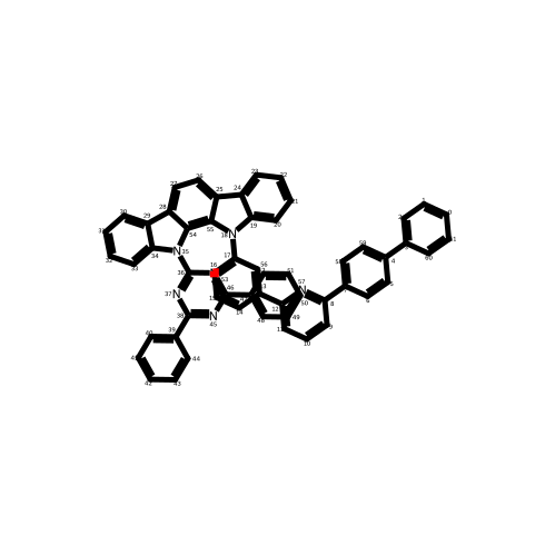 c1ccc(-c2ccc(-c3cccc(-c4cccc(-n5c6ccccc6c6ccc7c8ccccc8n(-c8nc(-c9ccccc9)nc(-c9ccccc9)n8)c7c65)c4)n3)cc2)cc1